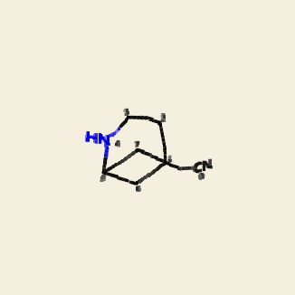 N#CC12CCNC(C1)C2